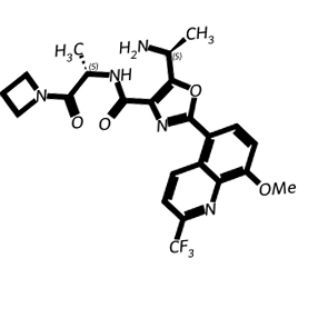 COc1ccc(-c2nc(C(=O)N[C@@H](C)C(=O)N3CCC3)c([C@H](C)N)o2)c2ccc(C(F)(F)F)nc12